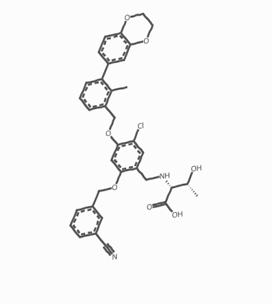 Cc1c(COc2cc(OCc3cccc(C#N)c3)c(CN[C@@H](C(=O)O)[C@@H](C)O)cc2Cl)cccc1-c1ccc2c(c1)OCCO2